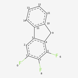 Fc1cc2c(c(F)c1F)Cc1ccccc1-2